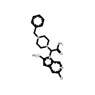 NC(=O)C(N1CCN(Cc2ccccc2)CC1)n1c(C(=O)O)cc2cc(Cl)ncc21